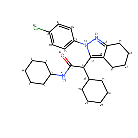 O=C(NC1CCCCC1)C(c1c2c(nn1-c1ccc(Cl)cc1)CCCC2)C1CCCCC1